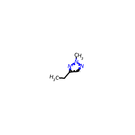 CCc1[c]nn(C)n1